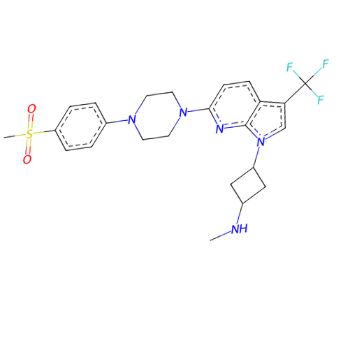 CNC1CC(n2cc(C(F)(F)F)c3ccc(N4CCN(c5ccc(S(C)(=O)=O)cc5)CC4)nc32)C1